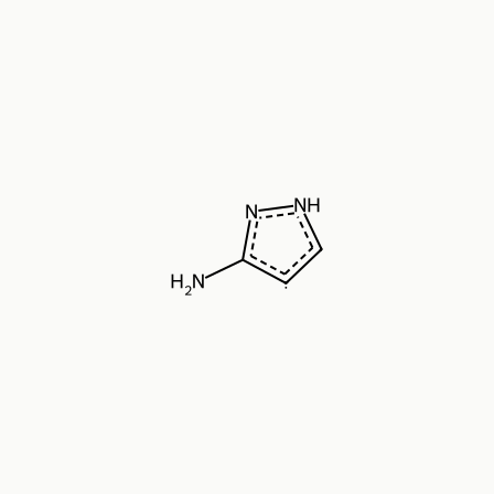 Nc1[c]c[nH]n1